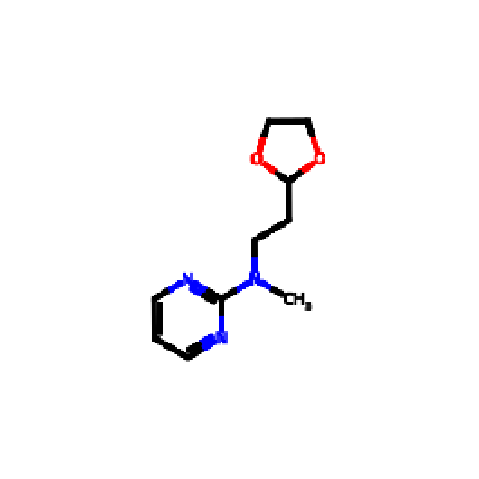 CN(CCC1OCCO1)c1ncccn1